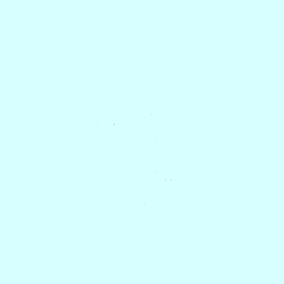 CCC(C)C(=O)OC(C)C.CCC(C)C(=O)OC(C)C